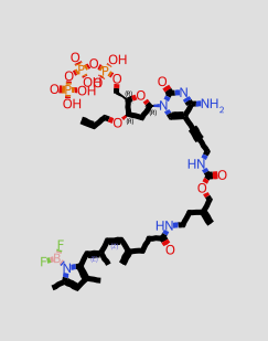 C=CCO[C@@H]1C[C@H](n2cc(C#CCNC(=O)OCC(=C)CCNC(=O)CCC(=C)/C=C\C(C)=C\c3c(C)cc(C)n3B(F)F)c(N)nc2=O)O[C@@H]1COP(=O)(O)OP(=O)(O)OP(=O)(O)O